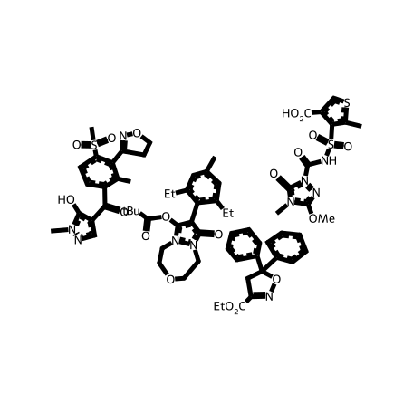 CCOC(=O)C1=NOC(c2ccccc2)(c2ccccc2)C1.CCc1cc(C)cc(CC)c1-c1c(OC(=O)C(C)(C)C)n2n(c1=O)CCOCC2.COc1nn(C(=O)NS(=O)(=O)c2c(C(=O)O)csc2C)c(=O)n1C.Cc1c(C(=O)c2cnn(C)c2O)ccc(S(C)(=O)=O)c1C1=NOCC1